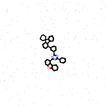 c1ccc(-c2nc(-c3cccc(-c4cccc5c4-c4ccccc4C54CCCCC4)c3)nc(-c3cccc4oc5ccccc5c34)n2)cc1